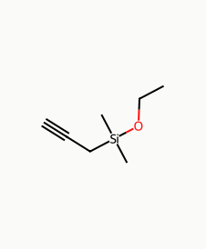 C#CC[Si](C)(C)OCC